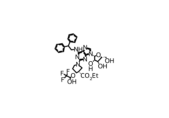 CCOC(=O)[C@@H]1CCCN(c2nc(NCC(c3ccccc3)c3ccccc3)c3ncn([C@@H]4O[C@H](CO)[C@@H](O)[C@H]4O)c3n2)C1.O=C(O)C(F)(F)F